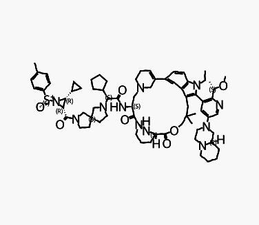 CCn1c(-c2cc(N3CCN4CCCC[C@@H]4C3)cnc2[C@H](C)OC)c2c3cc(ccc31)C1=CCCN(C1)C[C@H](NC(=O)[C@H](C1CCCC1)N1CC[C@]3(CCN(C(=O)[C@H]4[C@@H](C5CC5)N4[S@+]([O-])c4ccc(C)cc4)C3)C1)C(=O)N1CCC[C@H](N1)C(=O)OCC(C)(C)C2